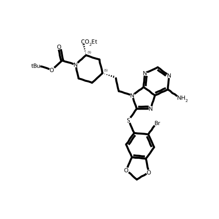 CCOC(=O)[C@@H]1C[C@H](CCn2c(Sc3cc4c(cc3Br)OCO4)nc3c(N)ncnc32)CCN1C(=O)OC(C)(C)C